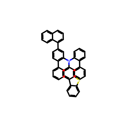 c1ccc(-c2ccccc2N(c2ccc3c(c2)sc2ccccc23)c2cc(-c3cccc4ccccc34)ccc2-c2ccccc2)cc1